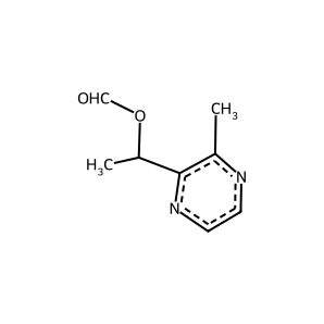 Cc1nccnc1C(C)OC=O